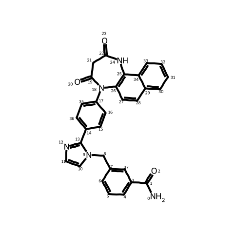 NC(=O)c1cccc(Cn2ccnc2-c2ccc(N3C(=O)CC(=O)Nc4c3ccc3ccccc43)cc2)c1